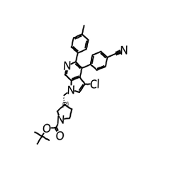 Cc1ccc(-c2ncc3c(c(Cl)cn3C[C@@H]3CCN(C(=O)OC(C)(C)C)C3)c2-c2ccc(C#N)cc2)cc1